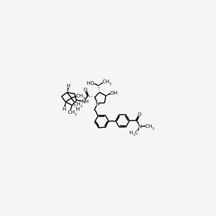 C[C@H](O)[C@H]1[C@@H](C(=O)NC2C[C@H]3C[C@@H]([C@@H]2C)C3(C)C)N(Cc2cccc(-c3ccc(C(=O)N(C)C)cc3)c2)C[C@@H]1O